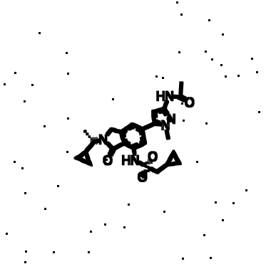 CC(=O)Nc1cc(-c2cc3c(c(NS(=O)(=O)CC4CC4)c2)C(=O)N([C@@H](C)C2CC2)C3)n(C)n1